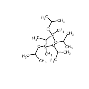 CC(C)O[Si](C)(OC(C)C)C(C)[Si](C)(OC(C)C)OC(C)C